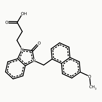 COc1ccc2c(Cn3c(=O)n(CCC(=O)O)c4ccccc43)cccc2c1